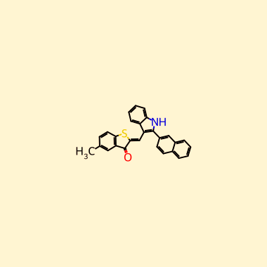 Cc1ccc2c(c1)C(=O)/C(=C/c1c(-c3ccc4ccccc4c3)[nH]c3ccccc13)S2